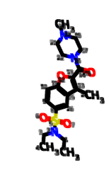 CCN(CC)S(=O)(=O)c1ccc2oc(C(=O)N3CCN(C)CC3)c(C)c2c1